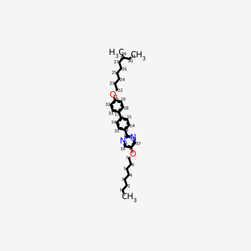 CCCCCCCCOc1cnc(-c2ccc(-c3ccc(OCCCCCC[C@@H](C)CC)cc3)cc2)nc1